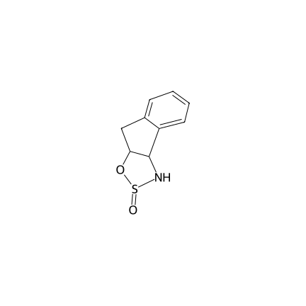 O=S1NC2c3ccccc3CC2O1